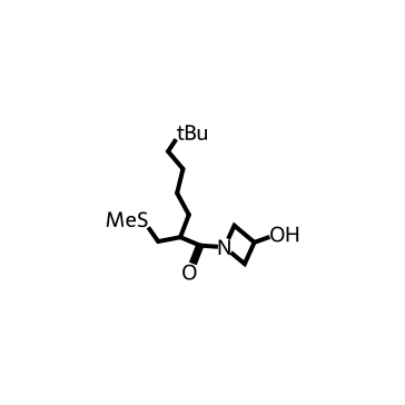 CSCC(CCCCC(C)(C)C)C(=O)N1CC(O)C1